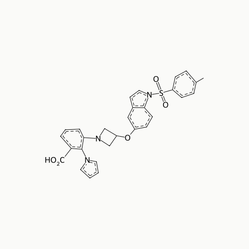 Cc1ccc(S(=O)(=O)n2ccc3cc(OC4CN(c5cccc(C(=O)O)c5-n5cccc5)C4)ccc32)cc1